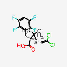 CC1(C)[C@H](C=C(Cl)Cl)[C@@]1(Cc1c(F)c(F)cc(F)c1F)C(=O)O